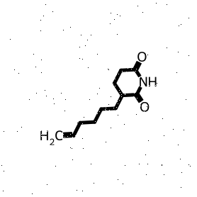 C=CCCCCC1CCC(=O)NC1=O